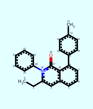 CCc1cc2cccc(-c3ccc(C)cc3)c2c(=O)n1-c1ccccc1